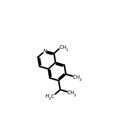 Cc1cc2c(C)nccc2cc1C(C)C